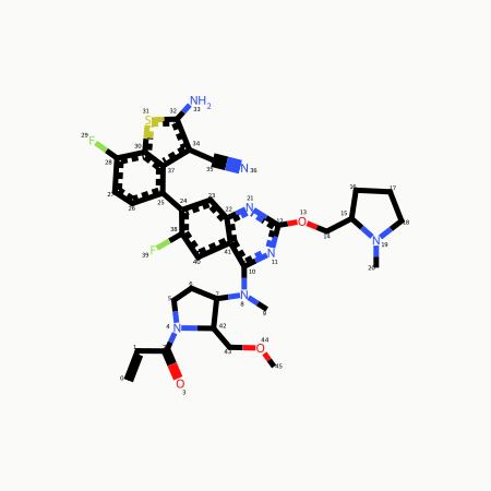 C=CC(=O)N1CCC(N(C)c2nc(OCC3CCCN3C)nc3cc(-c4ccc(F)c5sc(N)c(C#N)c45)c(F)cc23)C1COC